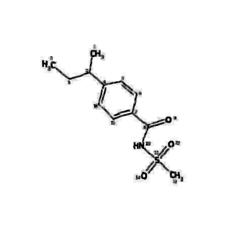 CCC(C)c1ccc(C(=O)NS(C)(=O)=O)cc1